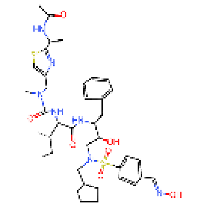 CC[C@H](C)[C@H](NC(=O)N(C)Cc1csc([C@H](C)NC(C)=O)n1)C(=O)N[C@@H](Cc1ccccc1)[C@@H](O)CN(CC1CCCC1)S(=O)(=O)c1ccc(C=NO)cc1